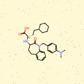 CN(C)c1ccc(CN2C(=O)C(N[C@@H](CCC3CCCCC3)C(=O)O)CCc3ccccc32)cc1